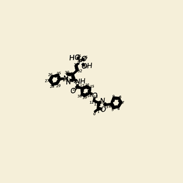 Cc1oc(-c2ccccc2)nc1COc1ccc(C(=O)Nc2nn(-c3ccccc3)cc2C=CP(=O)(O)O)cc1